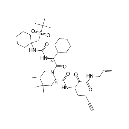 C#CCCC(NC(=O)[C@@H]1CC(C)(C)C(C)CN1C(=O)[C@@H](NC(=O)NC1(CS(=O)(=O)C(C)(C)C)CCCCC1)C1CCCCC1)C(=O)C(=O)NCC=C